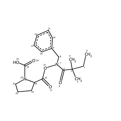 CCC(C)(C)C(=O)N(Cc1ccccc1)OC(=O)C1CCCN1C(=O)O